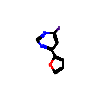 Ic1cc(-c2ccco2)ncn1